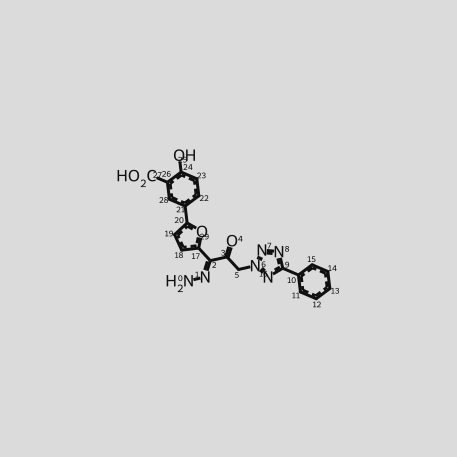 NN=C(C(=O)Cn1nnc(-c2ccccc2)n1)c1ccc(-c2ccc(O)c(C(=O)O)c2)o1